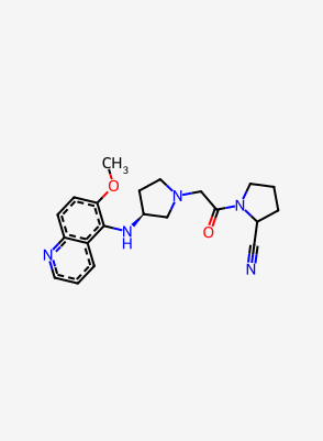 COc1ccc2ncccc2c1N[C@H]1CCN(CC(=O)N2CCCC2C#N)C1